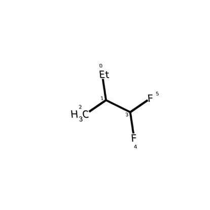 [CH2]CC(C)C(F)F